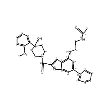 COc1ccccc1C1(O)CCN(C(=O)c2cc3c(NCCNC(C)=O)nc(-c4ccccc4)nc3[nH]2)CC1